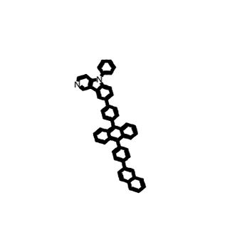 C1=CC2C=CC(c3ccc(-c4c5ccccc5c(-c5ccc(-c6ccc7c(c6)c6cnccc6n7-c6ccccc6)cc5)c5ccccc45)cc3)=CC2C=C1